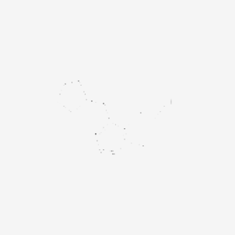 CCCc1c(C)cccc1CN1CCCC1